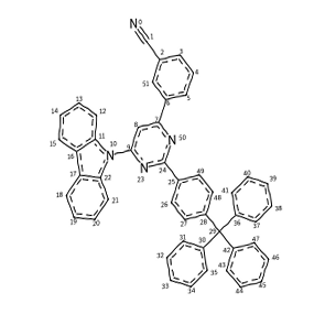 N#Cc1cccc(-c2cc(-n3c4ccccc4c4ccccc43)nc(-c3ccc(C(c4ccccc4)(c4ccccc4)c4ccccc4)cc3)n2)c1